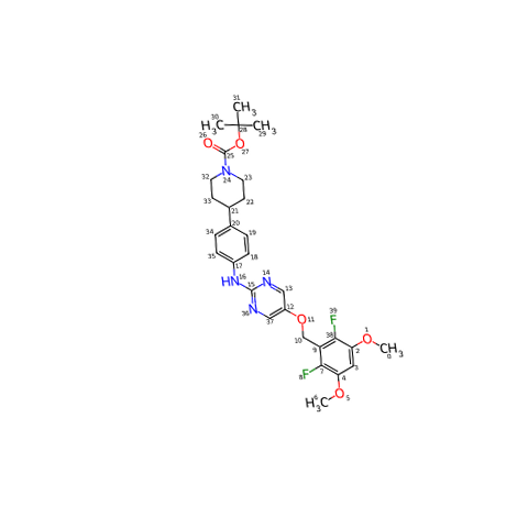 COc1cc(OC)c(F)c(COc2cnc(Nc3ccc(C4CCN(C(=O)OC(C)(C)C)CC4)cc3)nc2)c1F